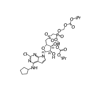 CC(C)OC(=O)OCOP(=O)(CS(=O)(=O)CC1O[C@@H](n2ccc3c(NC4CCCC4)nc(Cl)nc32)[C@H](O)[C@@H]1O)OCOC(=O)OC(C)C